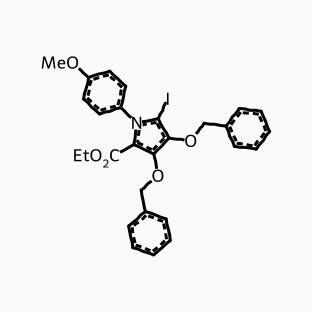 CCOC(=O)c1c(OCc2ccccc2)c(OCc2ccccc2)c(I)n1-c1ccc(OC)cc1